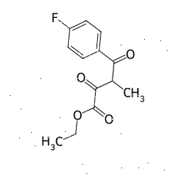 CCOC(=O)C(=O)C(C)C(=O)c1ccc(F)cc1